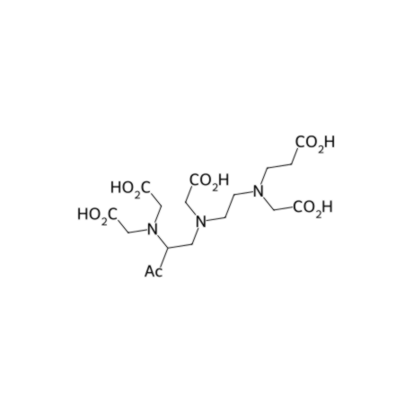 CC(=O)C(CN(CCN(CCC(=O)O)CC(=O)O)CC(=O)O)N(CC(=O)O)CC(=O)O